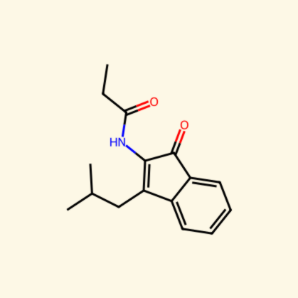 CCC(=O)NC1=C(CC(C)C)c2ccccc2C1=O